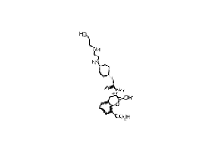 O=C(C[C@H]1CC[C@H](NCCNCCO)CC1)N[C@H]1Cc2cccc(C(=O)O)c2OB1O